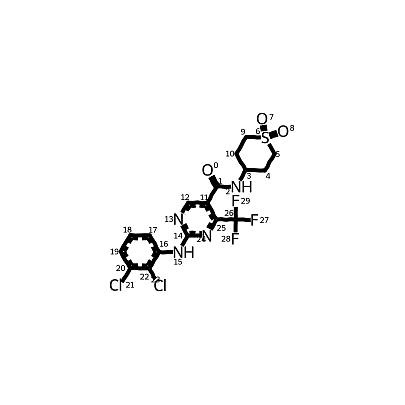 O=C(NC1CCS(=O)(=O)CC1)c1cnc(Nc2cccc(Cl)c2Cl)nc1C(F)(F)F